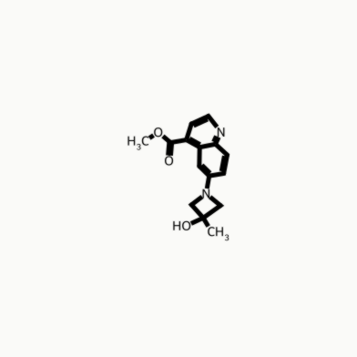 COC(=O)c1ccnc2ccc(N3CC(C)(O)C3)cc12